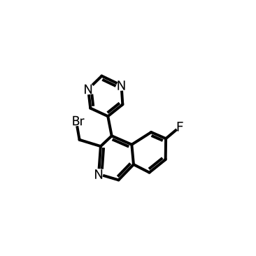 Fc1ccc2cnc(CBr)c(-c3cncnc3)c2c1